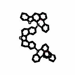 C1=CC2Oc3c(cccc3N(c3ccc4c(ccc5oc6ccc7cc(N(c8ccccc8-c8ccccc8)c8cccc9c8oc8ccccc89)ccc7c6c54)c3)c3ccccc3-c3ccccc3)C2C=C1